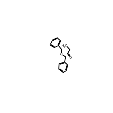 CCC=O.c1ccc(COCc2ccccc2)cc1